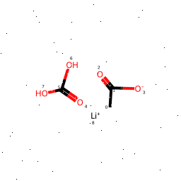 CC(=O)[O-].O=C(O)O.[Li+]